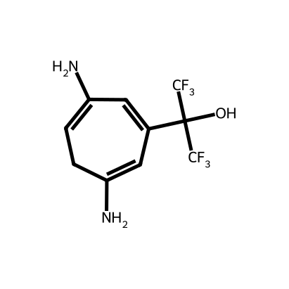 NC1=CCC(N)=CC(C(O)(C(F)(F)F)C(F)(F)F)=C1